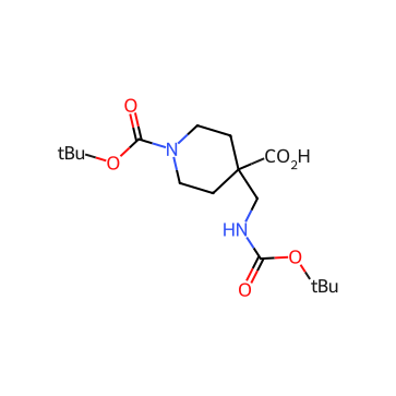 CC(C)(C)OC(=O)NCC1(C(=O)O)CCN(C(=O)OC(C)(C)C)CC1